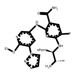 CCCCC[C@@H](Nc1nc(Nc2cnc(OCC)c(-n3ccnn3)c2)c(C(N)=O)cc1F)[C@H](C)N